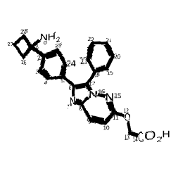 NC1(c2ccc(-c3nc4ccc(OCC(=O)O)nn4c3-c3ccccc3)cc2)CCC1